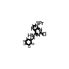 CC(C)n1cnc2c(NCc3ccccc3)nc(Cl)nc21